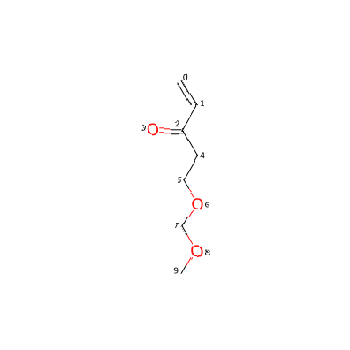 C=CC(=O)CCOCOC